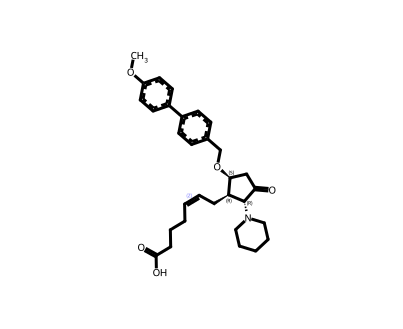 COc1ccc(-c2ccc(CO[C@H]3CC(=O)[C@H](N4CCCCC4)[C@H]3C/C=C\CCCC(=O)O)cc2)cc1